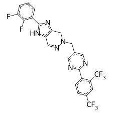 Fc1cccc(-c2nc3c([nH]2)C=NN(Cc2cnc(-c4ccc(C(F)(F)F)cc4C(F)(F)F)nc2)C3)c1F